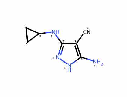 N#Cc1c(NC2CC2)n[nH]c1N